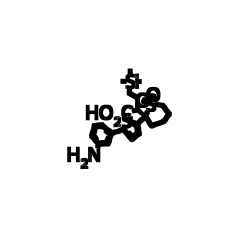 C[Si](C)(C)CCC(C(=O)O)[C@]1(c2ccc(-c3cccc(N)c3)s2)CCCCS1(=O)=O